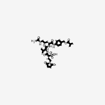 CC(C)C(=O)OCc1ccc(NC(=O)[C@H](CCCNC(N)=O)NC(=O)[C@@H](NC(=O)[C@H](CCN2C(=O)C=CC2=O)S(=O)(=O)O)C(C)C)cc1